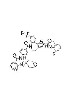 Cc1cccc(F)c1NC(=O)c1cc2c(s1)-c1ccc(C(F)(F)F)cc1N(C(=O)c1ccc(NC(=O)c3cccnc3N3CC4(CCOCC4)C3)cc1)CC2